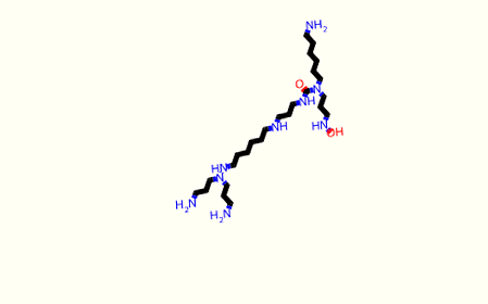 NCCCCCCN(CCCNO)C(=O)NCCCNCCCCCCNN(CCCN)CCCN